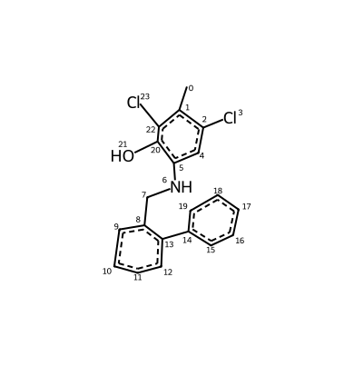 Cc1c(Cl)cc(NCc2ccccc2-c2ccccc2)c(O)c1Cl